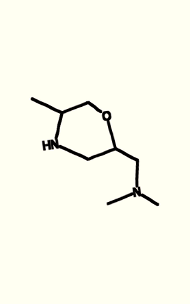 CC1COC(CN(C)C)CN1